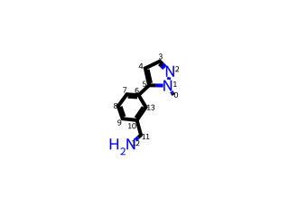 Cn1nccc1-c1cccc(CN)c1